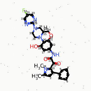 Cc1cc(-c2ccccc2)c(C(=O)C(=O)Nc2cc(O)c3c(c2)OC[C@@H]2CN(c4ncc(F)cn4)CCN32)n1C